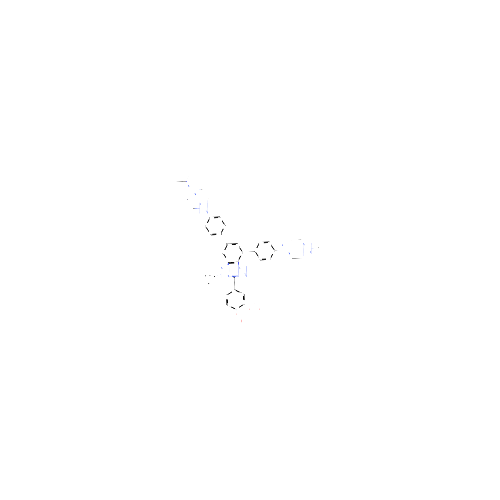 COc1ccc(-c2nc3c(-c4ccc(N5CCN(C(C)C)CC5)cc4)cc(-c4ccc(N5CCN(C(C)C)CC5)cc4)cc3n2C2CC2)cc1OC